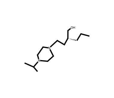 CCC[C@@H](CO)CCN1CCN(C(C)C)CC1